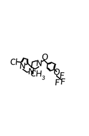 CN1CCn2c(Cl)ccc2C12CCN(C(=O)c1ccc(OCC(F)(F)F)cc1)CC2